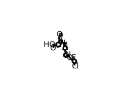 CC(N1CCC(c2cccc(OCc3cc(Cl)ccc3F)n2)CC1)N1CN(C[C@@H]2CCO2)c2cc(C(=O)O)ccc21